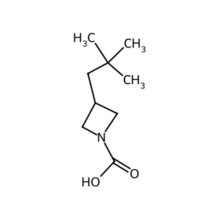 CC(C)(C)CC1CN(C(=O)O)C1